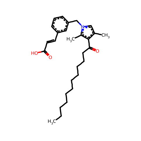 CCCCCCCCCCCC(=O)c1c(C)cn(Cc2cccc(/C=C/C(=O)O)c2)c1C